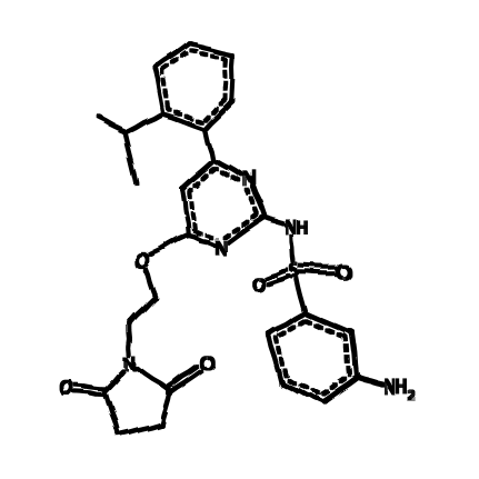 CC(C)c1ccccc1-c1cc(OCCN2C(=O)CCC2=O)nc(NS(=O)(=O)c2cccc(N)c2)n1